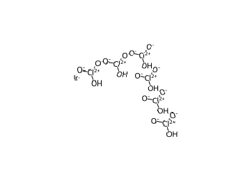 [Ir].[O-][Cl+2]([O-])O.[O-][Cl+2]([O-])O.[O-][Cl+2]([O-])O.[O-][Cl+2]([O-])O.[O-][Cl+2]([O-])O.[O-][Cl+2]([O-])O